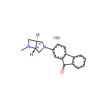 Br.CN1C[C@H]2CN(c3ccc4c(c3)C(=O)c3ccccc3-4)C[C@@H]21